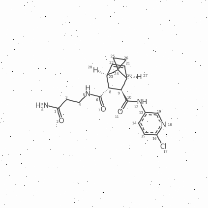 NC(=O)CCNC(=O)[C@H]1[C@H](C(=O)Nc2ccc(Cl)nc2)[C@@H]2C=C[C@H]1C21CC1